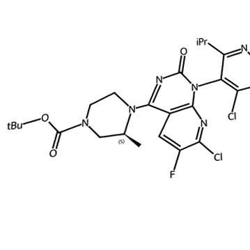 CC(C)c1nccc(Cl)c1-n1c(=O)nc(N2CCN(C(=O)OC(C)(C)C)C[C@@H]2C)c2cc(F)c(Cl)nc21